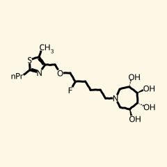 CCCc1nc(COCC(F)CCCCN2C[C@H](O)[C@@H](O)[C@H](O)[C@@H](O)C2)c(C)s1